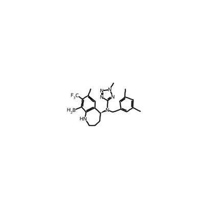 Bc1c2c(cc(C)c1C(F)(F)F)[C@@H](N(Cc1cc(C)cc(C)c1)c1nnn(C)n1)CCCN2